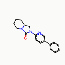 O=C1N(c2ccc(-c3ccccc3)cn2)CC2CCCCN12